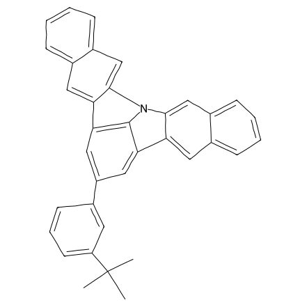 CC(C)(C)c1cccc(-c2cc3c4cc5ccccc5cc4n4c5cc6ccccc6cc5c(c2)c34)c1